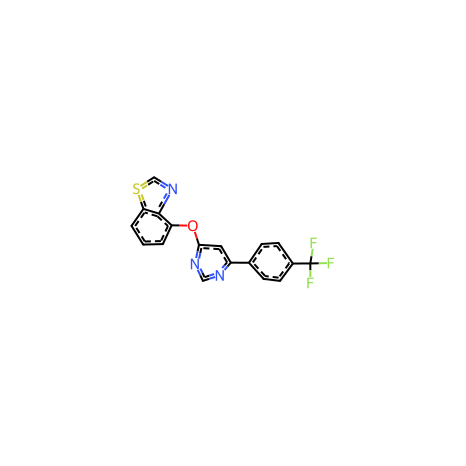 FC(F)(F)c1ccc(-c2cc(Oc3cccc4scnc34)ncn2)cc1